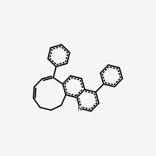 C1=C\CCCc2c(ccc3c(-c4ccccc4)ccnc23)\C(c2ccccc2)=C/1